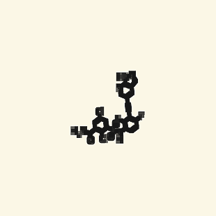 NC(=O)c1cc(Cl)cc(S(=O)(=O)Nc2ccc(F)c(C#Cc3cnc4[nH]ncc4c3)c2F)c1Cl